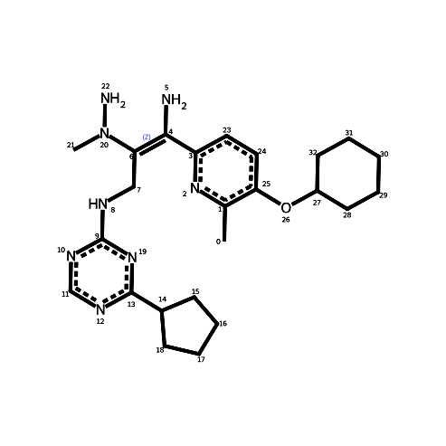 Cc1nc(/C(N)=C(\CNc2ncnc(C3CCCC3)n2)N(C)N)ccc1OC1CCCCC1